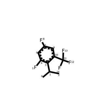 CC(C)c1c(F)cc(F)cc1C(F)(F)F